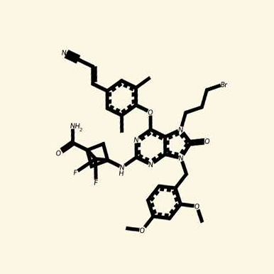 COc1ccc(Cn2c(=O)n(CCCBr)c3c(Oc4c(C)cc(/C=C/C#N)cc4C)nc(NC45CC(C(N)=O)(C4)C5(F)F)nc32)c(OC)c1